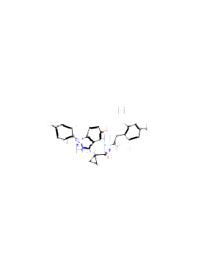 Cc1cc(F)ccc1[C@@H](Oc1ccc2c(cnn2-c2ccc(F)cc2)c1)[C@H](C)NC(=O)C1(C)CC1